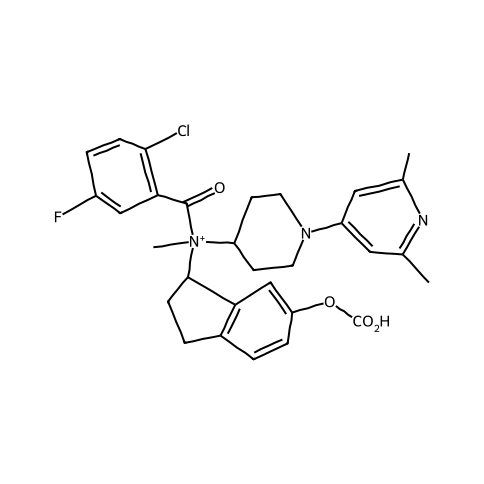 Cc1cc(N2CCC([N+](C)(C(=O)c3cc(F)ccc3Cl)C3CCc4ccc(OC(=O)O)cc43)CC2)cc(C)n1